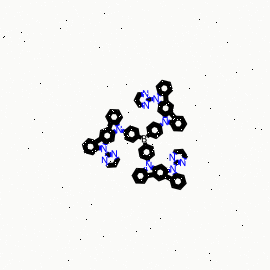 c1cnc(-n2c3ccccc3c3cc4c5ccccc5n(-c5ccc(B(c6ccc(-n7c8ccccc8c8cc9c%10ccccc%10n(-c%10ncccn%10)c9cc87)cc6)c6ccc(-n7c8ccccc8c8cc9c%10ccccc%10n(-c%10ncccn%10)c9cc87)cc6)cc5)c4cc32)nc1